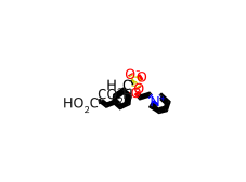 CS(=O)(=O)[O-].O=C(O)C(Cc1ccc(OCC[n+]2ccccc2)cc1)C(=O)O